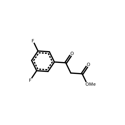 COC(=O)CC(=O)c1cc(F)cc(F)c1